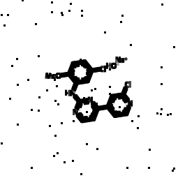 COc1ccc(Cl)cc1Nc1nccc(-c2ccnc(Cl)c2)n1.[Na+].[OH-]